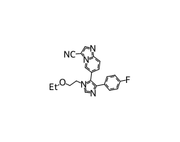 CCOCCn1cnc(-c2ccc(F)cc2)c1-c1ccc2ncc(C#N)n2c1